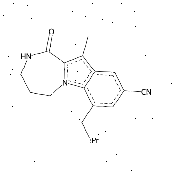 Cc1c2n(c3c(CC(C)C)cc(C#N)cc13)CCCNC2=O